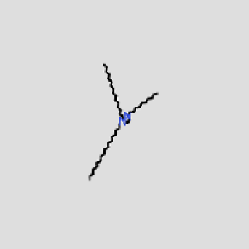 CCCCCCCCCCCCCCCCCCN1C=CN(CCCCCCCCCC)C1CCCCCCCCCCCCCCC